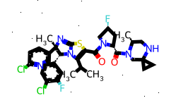 CC(C)C1=C(C(=O)N2C[C@H](F)C[C@@H]2C(=O)N2CC3(CC3)NC[C@H]2C)SC2=N[C@@](C)(c3ccc(Cl)nc3)[C@@H](c3ccc(Cl)c(F)c3)N21